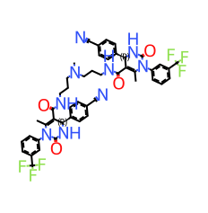 CC1=C(C(=O)NCCCN(C)CCCNC(=O)C2=C(C)N(c3cccc(C(F)(F)F)c3)C(=O)N[C@@H]2c2ccc(C#N)cc2)[C@@H](c2ccc(C#N)cc2)NC(=O)N1c1cccc(C(F)(F)F)c1